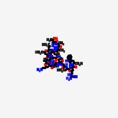 CC(C)C[C@H](NC(=O)[C@H](C)NC(=O)[C@H](C)NC(=O)[C@@H](N)[C@@H](C)O)C(=O)N[C@@H](CCC(=O)O)C(=O)N[C@@H](CCC(=O)O)C(=O)N[C@@H](CCC(N)=O)C(=O)N[C@@H](CC(C)C)C(=O)N[C@@H](CCCCN)C(=O)N[C@H](C(=O)N[C@@H](CC(C)C)C(=O)NCC(=O)N[C@@H](CC(=O)O)C(=O)N[C@@H](CCCNC(=N)N)C(=O)N[C@@H](Cc1c[nH]c2ccccc12)C(=O)O)C(C)C